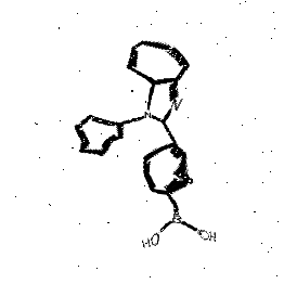 OB(O)c1ccc(C2N=C3C=CC=CC3N2c2ccccc2)cc1